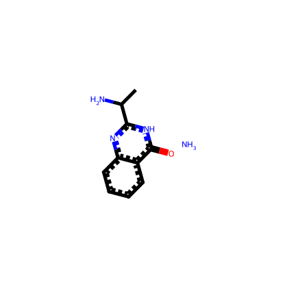 CC(N)c1nc2ccccc2c(=O)[nH]1.N